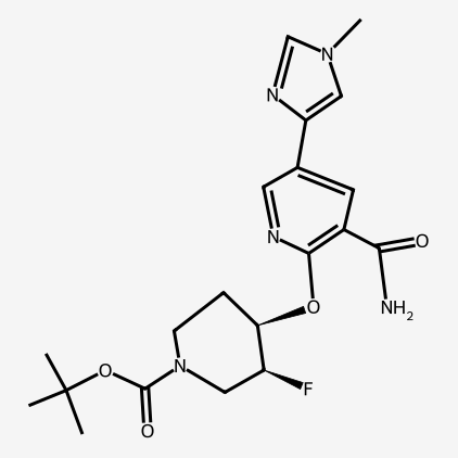 Cn1cnc(-c2cnc(O[C@@H]3CCN(C(=O)OC(C)(C)C)C[C@@H]3F)c(C(N)=O)c2)c1